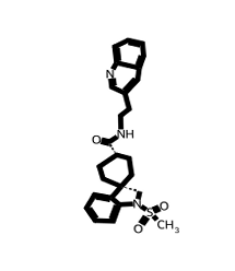 CS(=O)(=O)N1C[C@]2(CC[C@@H](C(=O)NCCc3cnc4ccccc4c3)CC2)c2ccccc21